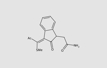 CS/C(C(C)=O)=C1\C(=O)C(CC(N)=O)c2ccccc21